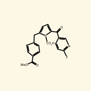 COC(=O)c1ccc(Cc2ccc(C(=O)c3ccc(F)nc3)n2C(=O)O)cc1